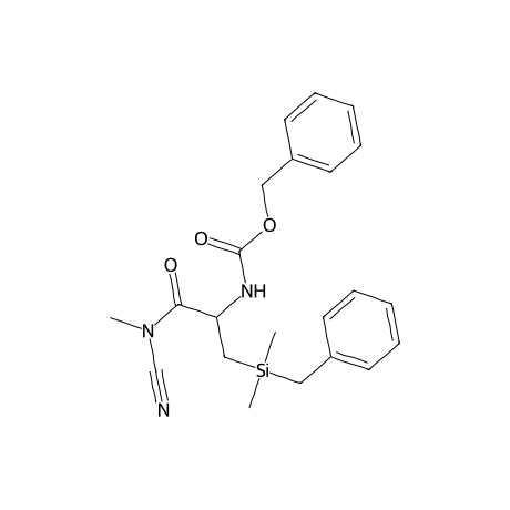 CN(C#N)C(=O)C(C[Si](C)(C)Cc1ccccc1)NC(=O)OCc1ccccc1